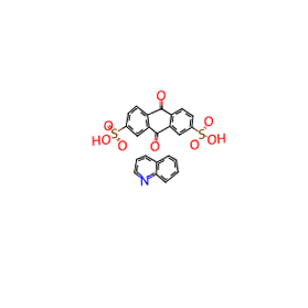 O=C1c2ccc(S(=O)(=O)O)cc2C(=O)c2cc(S(=O)(=O)O)ccc21.c1ccc2ncccc2c1